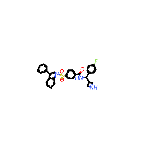 O=C(NC(c1ccc(F)cc1)C1CNC1)c1ccc(S(=O)(=O)n2cc(-c3ccccc3)c3ccccc32)cc1